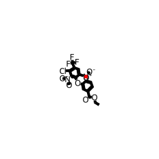 CCOC(=O)c1cccc(Oc2c([N+](=O)[O-])cc(C(F)(F)F)c(Cl)c2[N+](=O)[O-])c1